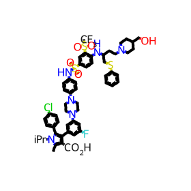 Cc1c(C(=O)O)c(-c2cc(F)cc(N3CCN(c4ccc(NS(=O)(=O)c5ccc(NC(CCN6CCC(CO)CC6)CSc6ccccc6)c(S(=O)(=O)C(F)(F)F)c5)cc4)CC3)c2)c(-c2ccc(Cl)cc2)n1C(C)C